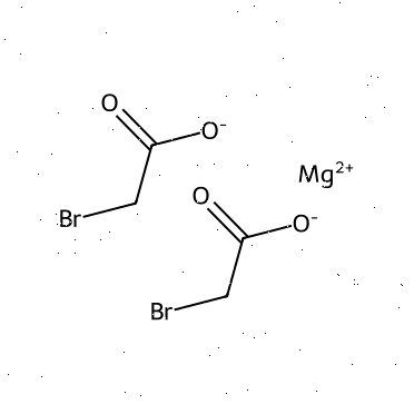 O=C([O-])CBr.O=C([O-])CBr.[Mg+2]